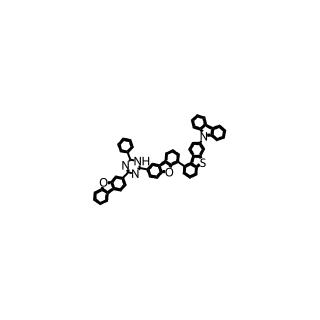 c1ccc(C2N=C(c3ccc4c(c3)oc3ccccc34)N=C(c3ccc4oc5c(-c6cccc7sc8cc(-n9c%10ccccc%10c%10ccccc%109)ccc8c67)cccc5c4c3)N2)cc1